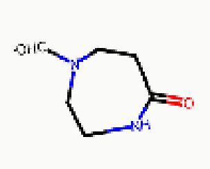 O=[C]N1CCNC(=O)CC1